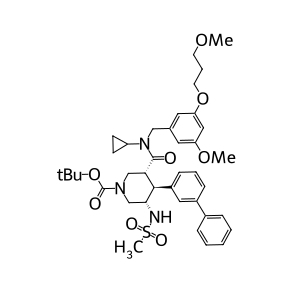 COCCCOc1cc(CN(C(=O)[C@H]2CN(C(=O)OC(C)(C)C)C[C@@H](NS(C)(=O)=O)[C@@H]2c2cccc(-c3ccccc3)c2)C2CC2)cc(OC)c1